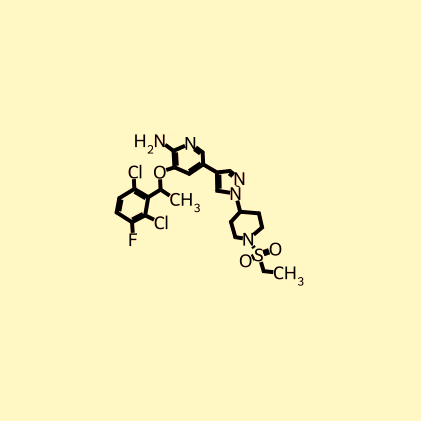 CCS(=O)(=O)N1CCC(n2cc(-c3cnc(N)c(OC(C)c4c(Cl)ccc(F)c4Cl)c3)cn2)CC1